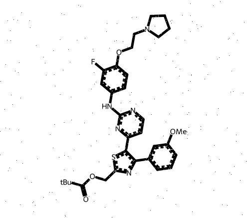 COc1cccc(-c2nc(COC(=O)C(C)(C)C)sc2-c2ccnc(Nc3ccc(OCCN4CCCC4)c(F)c3)n2)c1